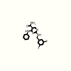 NC(=O)c1cnc(NCc2cc(F)cc(F)c2)nc1Nc1ccccc1